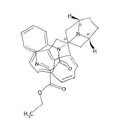 CCOC(=O)c1nc2ccccc2n([C@H]2C[C@H]3CC[C@@H](C2)N3C2Cc3cccc4cccc2c34)c1=O